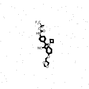 C[C@@H](OC(=O)Nc1ccc(-c2c(C#N)c3cc(OCC4COCO4)ccc3n2C2CCC2)cc1)C(F)(F)F